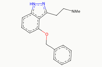 CNCCc1n[nH]c2cccc(OCc3ccccc3)c12